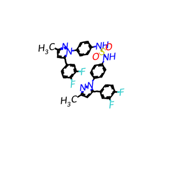 Cc1cc(-c2ccc(F)c(F)c2)n(-c2ccc(NS(=O)(=O)Nc3ccc(-n4nc(C)cc4-c4ccc(F)c(F)c4)cc3)cc2)n1